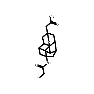 O=C(CCl)NC12CC3C4CC5(CC(=O)C(F)(F)F)CC3C(C1)C(C5)C4C2